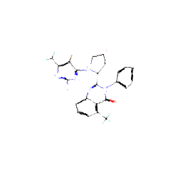 Nc1nc(C(F)F)c(Br)c(N2C[C@@H](O)C[C@H]2c2nc3cccc(C(F)(F)F)c3c(=O)n2-c2ccccc2)n1